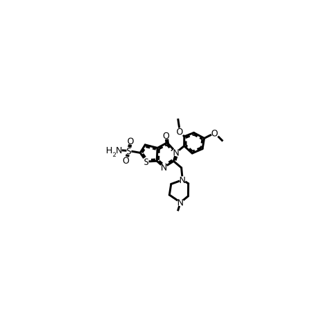 COc1ccc(-n2c(CN3CCN(C)CC3)nc3sc(S(N)(=O)=O)cc3c2=O)c(OC)c1